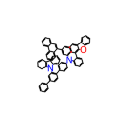 C1=Cc2c(n(-c3cc(-c4ccccc4)ccc3-c3ccc(N(c4cccc(-c5cc6ccccc6c6ccccc56)c4)c4ccccc4-c4cccc5c4oc4ccccc45)cc3)c3ccccc23)CC1